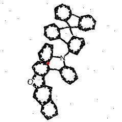 c1ccc(N(c2ccccc2-c2cccc3oc4cc5ccccc5cc4c23)c2cccc3c2-c2ccccc2C32c3ccccc3-c3ccccc32)cc1